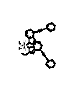 CCC1=Cc2c(C#Cc3ccccc3)cccc2[CH]1[Zr]([Cl])([Cl])([CH]1C(CC)=Cc2c(C#Cc3ccccc3)cccc21)[SiH](C)C